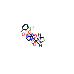 Cc1cccc(Cl)c1S(=O)(=O)Cc1noc(C(=O)N2[C@@H]3CC[C@H]2CC(Oc2ccncc2)C3)n1